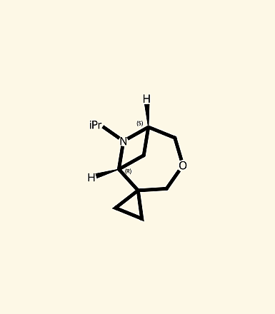 CC(C)N1[C@@H]2COCC3(CC3)[C@H]1C2